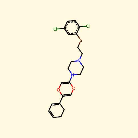 Clc1ccc(Cl)c(SCCN2CCN(C3=COC(C4=CC=CCC4)=CO3)CC2)c1